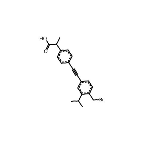 CC(C)c1cc(C#Cc2ccc(C(C)C(=O)O)cc2)ccc1CBr